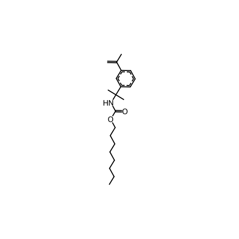 C=C(C)c1cccc(C(C)(C)NC(=O)OCCCCCCCC)c1